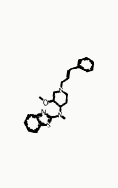 COC1CN(CC=Cc2ccccc2)CCC1N(C)c1nc2ccccc2s1